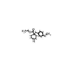 CCOC(=O)C1(Cc2ccc(OC)cc2)CCNCC1